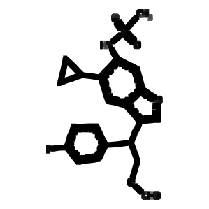 CS(=O)(=O)Nc1cc2occ(C(COC=O)c3ccc(F)cc3)c2cc1C1CC1